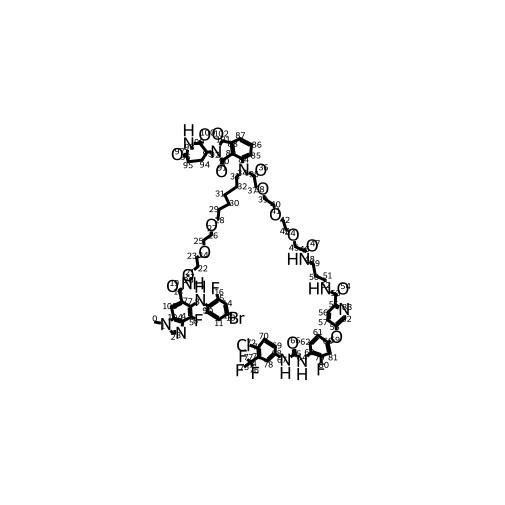 Cn1cnc2c(F)c(Nc3ccc(Br)cc3F)c(C(=O)NOCCOCCOCCCCCCN(C(=O)COCCOCCOCC(=O)NCCCNC(=O)c3ccc(Oc4ccc(NC(=O)Nc5ccc(Cl)c(C(F)(F)F)c5)c(F)c4)cn3)c3cccc4c3C(=O)N(C3CCC(=O)NC3=O)C4=O)cc21